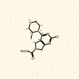 COC(=O)N1Cc2nc(Cl)nc(N3CCOC[C@@H]3C)c2C1